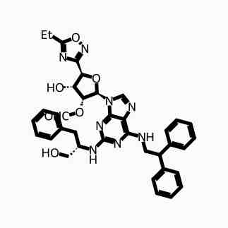 CCc1nc([C@H]2O[C@@H](n3cnc4c(NCC(c5ccccc5)c5ccccc5)nc(N[C@H](CO)Cc5ccccc5)nc43)[C@H](OC=O)[C@@H]2O)no1